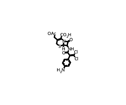 CC(=O)OCC1=C(C(=O)O)N2C(=O)C(NC(=O)C(=C(Cl)Cl)c3ccc(N)cc3)[C@@H]2SC1